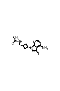 CC(=O)NC[C@H]1C[C@@H](n2cc(I)c3c(N)ncnc32)C1